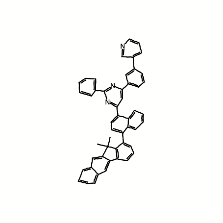 CC1(C)c2cc3ccccc3cc2-c2cccc(-c3ccc(-c4cc(-c5cccc(-c6cccnc6)c5)nc(-c5ccccc5)n4)c4ccccc34)c21